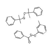 CC(C)(OOC(C)(C)c1ccccc1)c1ccccc1.Cc1cccc(OOC(=O)c2ccccc2)c1